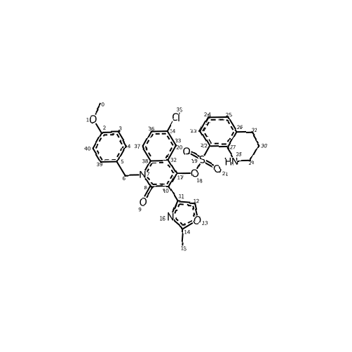 COc1ccc(Cn2c(=O)c(-c3coc(C)n3)c(OS(=O)(=O)c3cccc4c3NCCC4)c3cc(Cl)ccc32)cc1